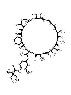 COC1CC2CCC(C)C(O)(O2)C(=O)C(=O)N2CCCCC2C(=O)OC(C(C)CC2CCC(OC(=O)C(C)(CO)CO)C(OC)C2)CC(=O)C(C)/C=C(\C)C(O)C(OC)C(=O)C(C)C(O)C(C)/C=C/C=C/C=C/1C